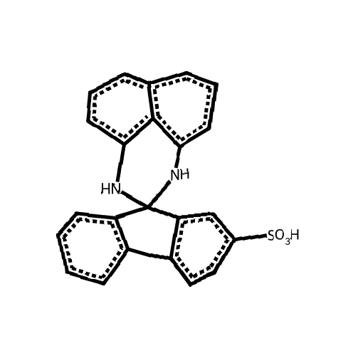 O=S(=O)(O)c1ccc2c(c1)C1(Nc3cccc4cccc(c34)N1)c1ccccc1-2